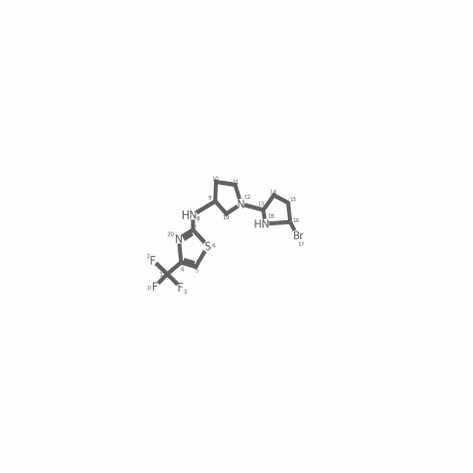 FC(F)(F)c1csc(NC2CCN(C3CCC(Br)N3)C2)n1